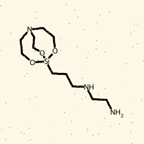 NCCNCCC[Si]12OCCN(CCO1)CCO2